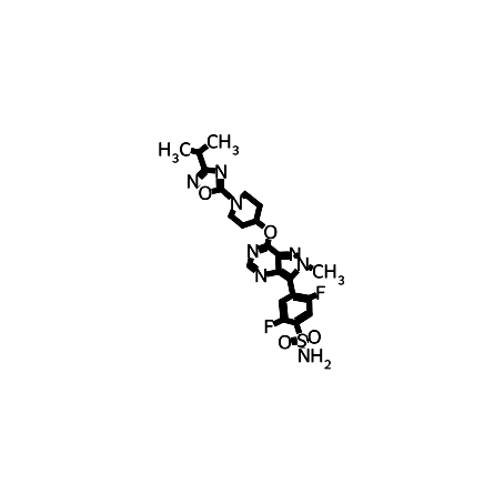 CC(C)c1noc(N2CCC(Oc3ncnc4c(-c5cc(F)c(S(N)(=O)=O)cc5F)n(C)nc34)CC2)n1